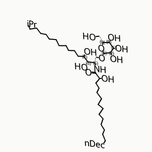 CCCCCCCCCCCCCCCCCCCCCCC(O)C(=O)N[C@@H](CO[C@H]1O[C@H](CO)[C@H](O)[C@H](O)[C@H]1O)[C@H](O)[C@H](O)CCCCCCCCCCCC(C)C